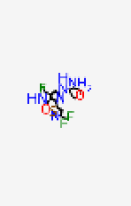 N[C@H]1COCC[C@H]1Nc1cc2c(c(-c3cc(C(F)F)ns3)n1)C(=O)NC2F